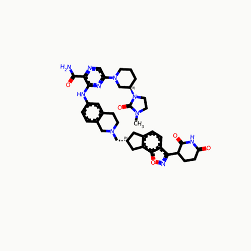 CN1CCN([C@@H]2CCCN(c3cnc(C(N)=O)c(Nc4ccc5c(c4)CCN(C[C@@H]4Cc6ccc7c(C8CCC(=O)NC8=O)noc7c6C4)C5)n3)C2)C1=O